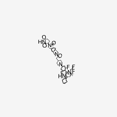 C[C@@H]1Cc2c([nH]c3ccccc23)[C@@H](c2c(F)cc(N3CCC(CC(=O)N4Cc5cc6c(cc5C4)C(=O)N(C4CCC(=O)NC4=O)C6)CC3)cc2F)N1CC(F)F